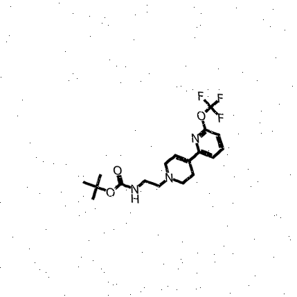 CC(C)(C)OC(=O)NCCN1CC=C(c2cccc(OC(F)(F)F)n2)CC1